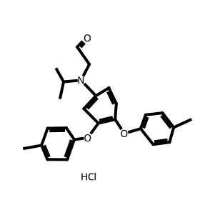 Cc1ccc(Oc2ccc(N(CC=O)C(C)C)cc2Oc2ccc(C)cc2)cc1.Cl